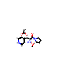 CON[C@@H](C(=O)N1CCCC1)[C@@H](OC(C)=O)c1ccncc1